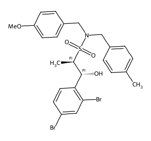 COc1ccc(CN(Cc2ccc(C)cc2)S(=O)(=O)[C@H](C)[C@H](O)c2ccc(Br)cc2Br)cc1